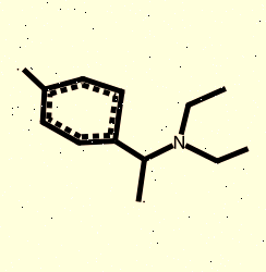 [CH2]c1ccc(C([CH2])N(CC)CC)cc1